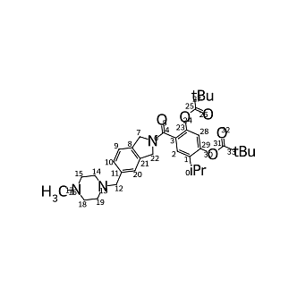 CC(C)c1cc(C(=O)N2Cc3ccc(CN4CCN(C)CC4)cc3C2)c(OC(=O)C(C)(C)C)cc1OC(=O)C(C)(C)C